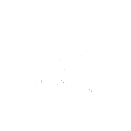 c1ccc(-c2cc(-c3ccccc3)cc(-c3ccc(N(c4ccc(-c5cccc6ccccc56)cc4)c4cccc(-c5cccc6c5c5ccccc5n6-c5ccccc5)c4)cc3)c2)cc1